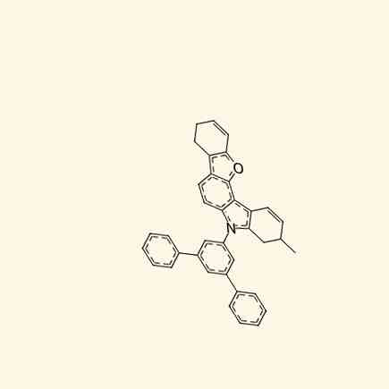 CC1C=Cc2c(n(-c3cc(-c4ccccc4)cc(-c4ccccc4)c3)c3ccc4c5c(oc4c23)C=CCC5)C1